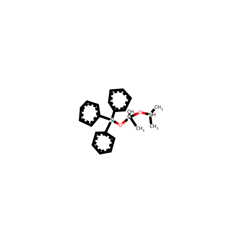 C[SiH](C)O[Si](C)(C)O[Si](c1ccccc1)(c1ccccc1)c1ccccc1